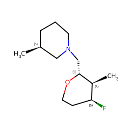 C[C@H]1CCCN(C[C@H]2OCC[C@H](F)[C@@H]2C)C1